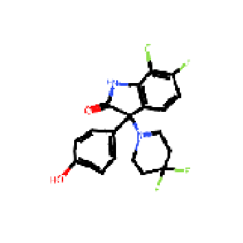 O=C1Nc2c(ccc(F)c2F)C1(c1ccc(O)cc1)N1CCC(F)(F)CC1